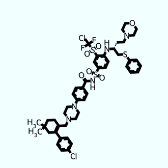 CC1(C)CCC(CN2CCN(c3ccc(C(=O)NS(=O)(=O)c4ccc(N[C@H](CCN5CCOCC5)CSc5ccccc5)c(S(=O)(=O)C(F)(F)Cl)c4)cc3)CC2)=C(c2ccc(Cl)cc2)C1